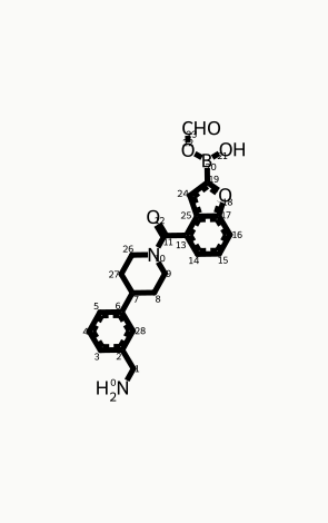 NCc1cccc(C2CCN(C(=O)c3cccc4oc(B(O)OC=O)cc34)CC2)c1